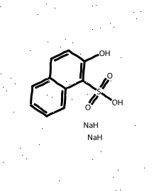 O=S(=O)(O)c1c(O)ccc2ccccc12.[NaH].[NaH]